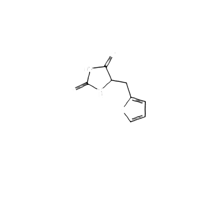 O=C1NC(=S)NC1Cc1cccs1